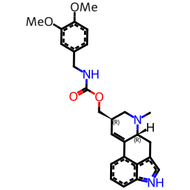 COc1ccc(CNC(=O)OC[C@@H]2C=C3c4cccc5[nH]cc(c45)C[C@H]3N(C)C2)cc1OC